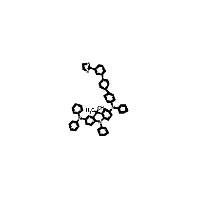 CC1(C)c2cc(N(c3ccccc3)c3ccccc3)ccc2N(c2ccccc2)c2ccc(N(c3ccccc3)c3ccc(-c4ccc(-c5cccc(-c6nccs6)c5)cc4)cc3)cc21